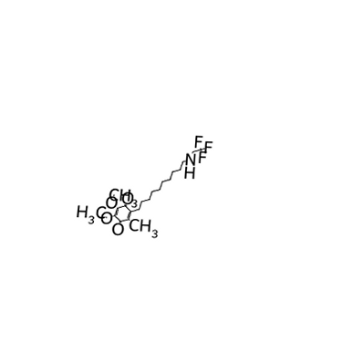 COC1=C(OC)C(=O)C(CCCCCCCCCCNCC(F)(F)F)=C(C)C1=O